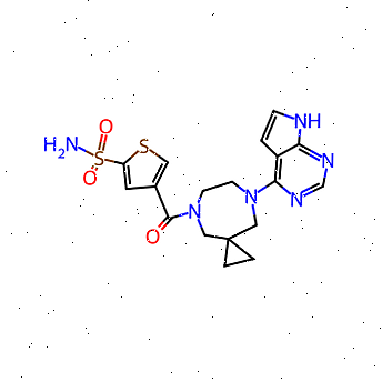 NS(=O)(=O)c1cc(C(=O)N2CCN(c3ncnc4[nH]ccc34)CC3(CC3)C2)cs1